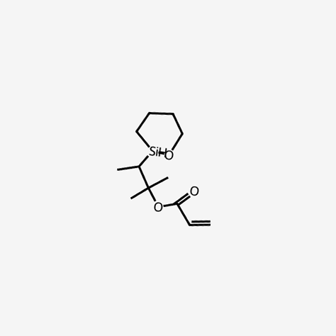 C=CC(=O)OC(C)(C)C(C)[SiH]1CCCCO1